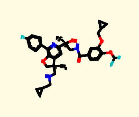 C[C@]1(CNCC2CC2)COc2c1cc([C@@](O)(CNC(=O)c1ccc(OC(F)F)c(OCC3CC3)c1)C(F)(F)F)nc2-c1ccc(F)cc1